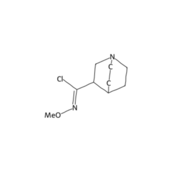 CON=C(Cl)C1CN2CCC1CC2